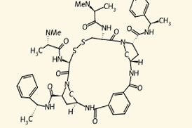 CN[C@@H](C)C(=O)N[C@H]1CSS[C@H](NC(=O)[C@H](C)NC)C(=O)N2C[C@H](C[C@H]2C(=O)N[C@H](C)c2ccccc2)NC(=O)c2cccc(c2)C(=O)N[C@H]2C[C@@H](C(=O)N[C@H](C)c3ccccc3)N(C2)C1=O